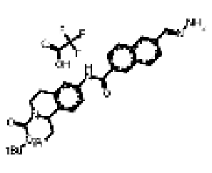 CC(C)CC1c2ccc(NC(=O)c3ccc4cc(C=NN)ccc4c3)cc2CCN1C(=O)OC(C)(C)C.O=C(O)C(F)(F)F